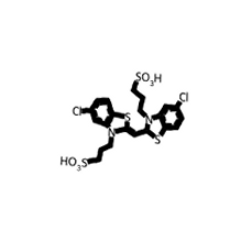 O=S(=O)(O)CCCN1/C(=C/C2Sc3ccc(Cl)cc3N2CCCS(=O)(=O)O)Sc2ccc(Cl)cc21